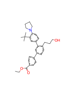 CCOC(=O)c1ccc(-c2ccc(CCCO)c(-c3ccc(N4CCCC4)c(C(C)(C)C)c3)c2)cc1